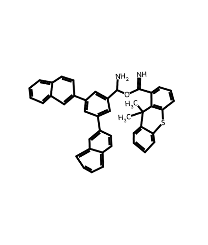 CC1(C)c2ccccc2Sc2cccc(C(=N)OC(N)c3cc(-c4ccc5ccccc5c4)cc(-c4ccc5ccccc5c4)c3)c21